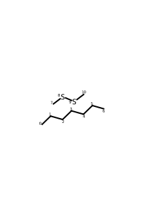 CCCCCCC.CSSC